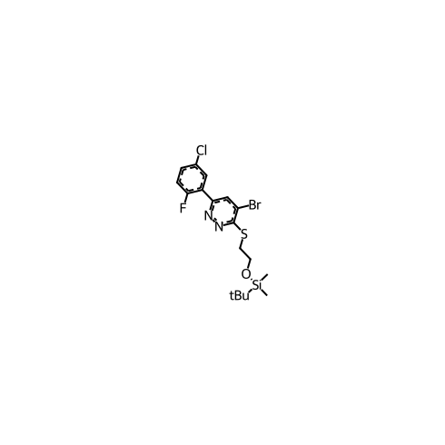 CC(C)(C)[Si](C)(C)OCCSc1nnc(-c2cc(Cl)ccc2F)cc1Br